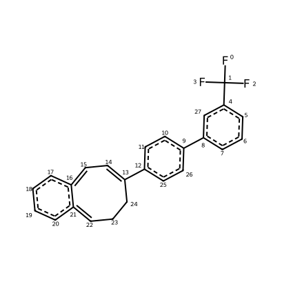 FC(F)(F)c1cccc(-c2ccc(/C3=C/C=c4/cccc/c4=C/CC3)cc2)c1